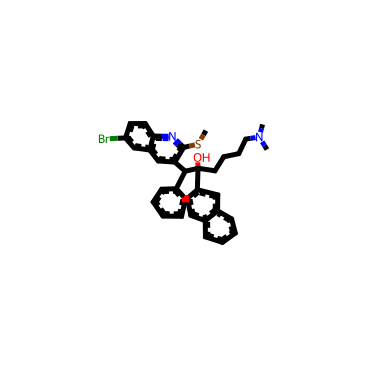 CSc1nc2ccc(Br)cc2cc1C(c1ccccc1)C(O)(CCCCN(C)C)c1ccc2ccccc2c1